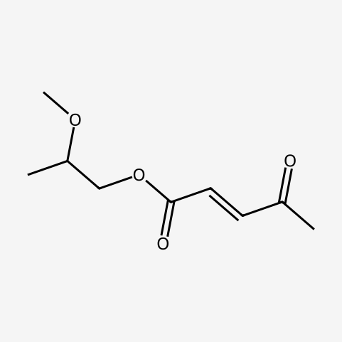 COC(C)COC(=O)/C=C/C(C)=O